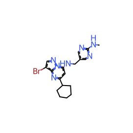 CNc1ncc(CNc2cc(C3CCCCC3)nc3c(Br)cnn23)cn1